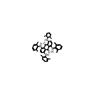 Cc1cccc(C)c1Nc1ccc(Nc2c(C)cccc2C)c2c1C(=O)c1c(Nc3c(C)cccc3C)ccc(Nc3c(C)cccc3C)c1C2=O